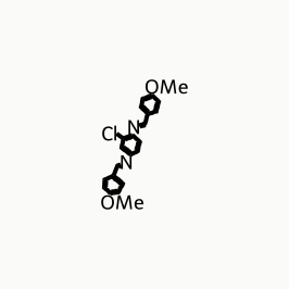 COc1ccc(C=Nc2ccc(N=Cc3ccc(OC)cc3)c(Cl)c2)cc1